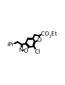 CCOC(=O)C1Cc2cc3c(CC(C)C)noc3c(Cl)c2O1